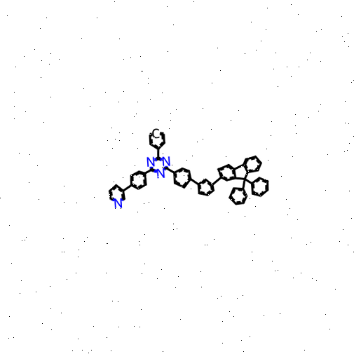 c1ccc(-c2nc(-c3ccc(-c4cccnc4)cc3)nc(-c3ccc(-c4cccc(-c5ccc6c(c5)C(c5ccccc5)(c5ccccc5)c5ccccc5-6)c4)cc3)n2)cc1